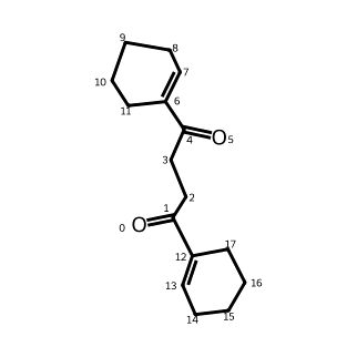 O=C(CCC(=O)C1=CCCCC1)C1=CCCCC1